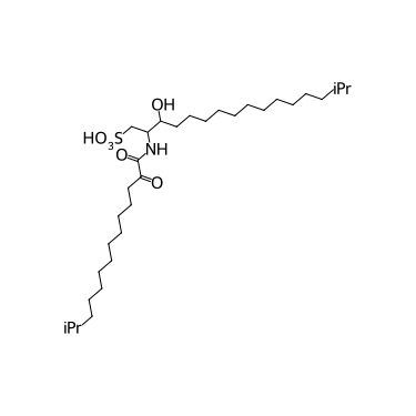 CC(C)CCCCCCCCCCCC(O)C(CS(=O)(=O)O)NC(=O)C(=O)CCCCCCCCCCC(C)C